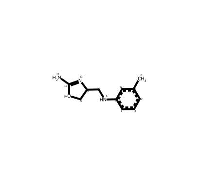 Cc1cccc(NCC2COC(N)=N2)c1